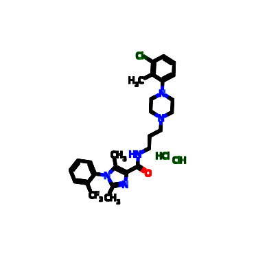 Cc1c(Cl)cccc1N1CCN(CCCNC(=O)c2nc(C)n(-c3ccccc3C(F)(F)F)c2C)CC1.Cl.Cl